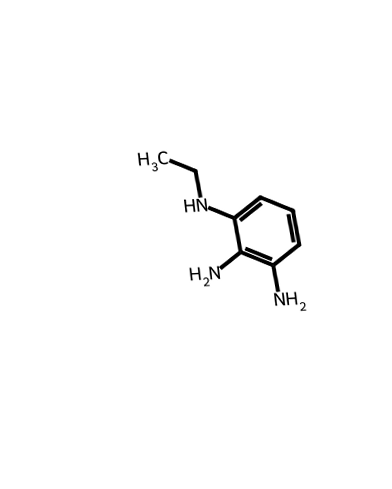 CCNc1cccc(N)c1N